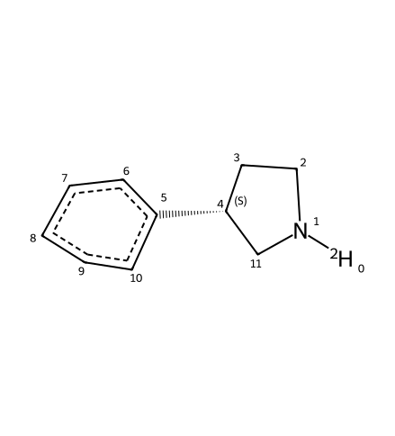 [2H]N1CC[C@@H](c2ccccc2)C1